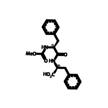 COC(=O)N[C@@H](Cc1ccccc1)C(=O)N[C@@H](Cc1ccccc1)C(=O)O